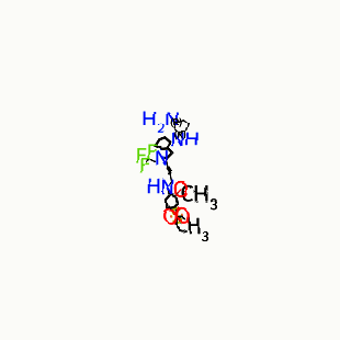 COc1cc(S(C)(=O)=O)ccc1NCC#Cc1cc2c(N[C@@H]3CCC[C@@H](N)C3)cccc2n1CC(F)(F)F